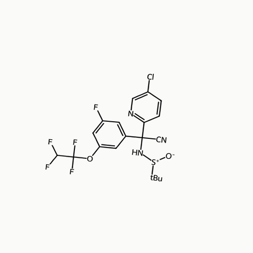 CC(C)(C)[S+]([O-])NC(C#N)(c1cc(F)cc(OC(F)(F)C(F)F)c1)c1ccc(Cl)cn1